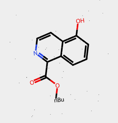 CCCCOC(=O)c1nccc2c(O)cccc12